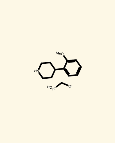 COc1ccccc1C1CCNCC1.O=C(O)CCl